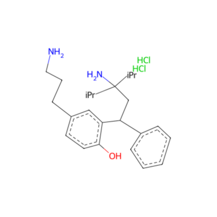 CC(C)C(N)(CC(c1ccccc1)c1cc(CCCN)ccc1O)C(C)C.Cl.Cl